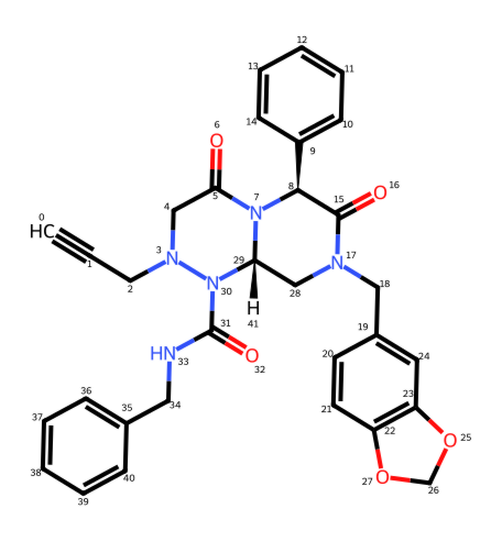 C#CCN1CC(=O)N2[C@@H](c3ccccc3)C(=O)N(Cc3ccc4c(c3)OCO4)C[C@@H]2N1C(=O)NCc1ccccc1